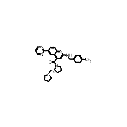 O=C(c1cc(NCc2ccc(C(F)(F)F)cc2)nc2ccc(-c3ncccn3)cc12)N1CCC[C@H]1CN1CCCC1